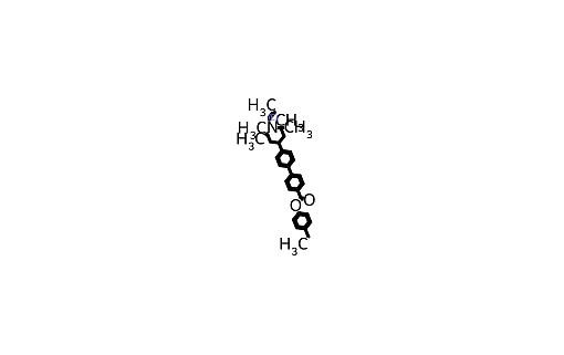 C/C=C/N1C(C)(C)CC(c2ccc(-c3ccc(C(=O)Oc4ccc(CC)cc4)cc3)cc2)CC1(C)C